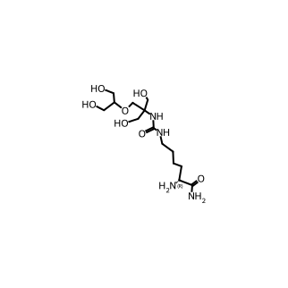 NC(=O)[C@H](N)CCCCNC(=O)NC(CO)(CO)COC(CO)CO